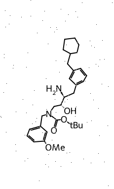 COc1cccc(CN(C[C@@H](O)[C@@H](N)Cc2cccc(CC3CCCCC3)c2)C(=O)OC(C)(C)C)c1